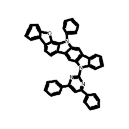 c1ccc(-c2cc(-c3ccccc3)nc(-n3c4ccccc4c4cc5c(cc43)c3ccc4c6ccccc6oc4c3n5-c3ccccc3)n2)cc1